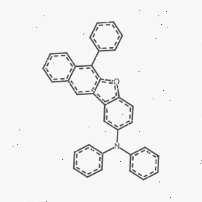 c1ccc(-c2c3ccccc3cc3c2oc2ccc(N(c4ccccc4)c4ccccc4)cc23)cc1